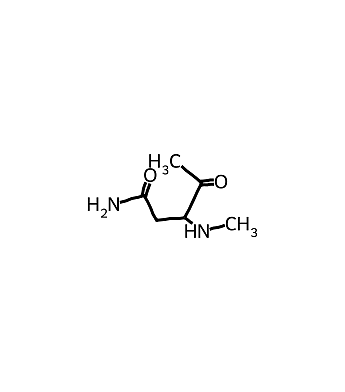 CNC(CC(N)=O)C(C)=O